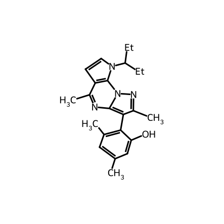 CCC(CC)n1ccc2c(C)nc3c(-c4c(C)cc(C)cc4O)c(C)nn3c21